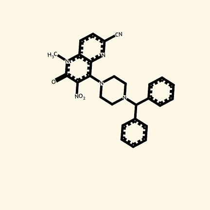 Cn1c(=O)c([N+](=O)[O-])c(N2CCN(C(c3ccccc3)c3ccccc3)CC2)c2nc(C#N)ccc21